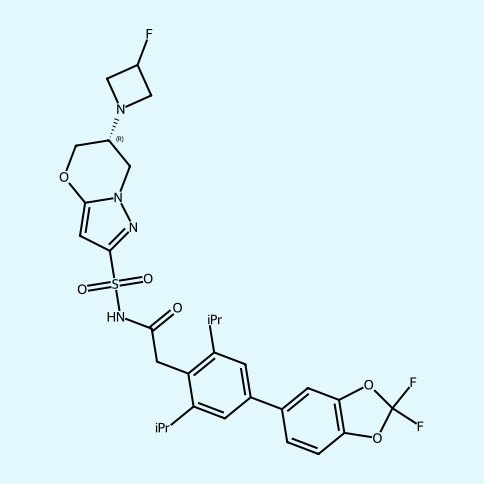 CC(C)c1cc(-c2ccc3c(c2)OC(F)(F)O3)cc(C(C)C)c1CC(=O)NS(=O)(=O)c1cc2n(n1)C[C@@H](N1CC(F)C1)CO2